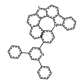 c1ccc(-c2cc(-c3ccccc3)nc(-c3ccc(-n4c5ccccc5c5ccc6sc7ccc8ccccc8c7c6c54)cc3)c2)cc1